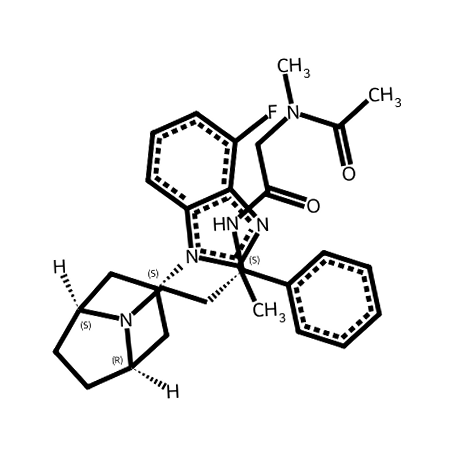 CC(=O)N(C)CC(=O)N[C@@H](CCN1[C@@H]2CC[C@H]1C[C@H](n1c(C)nc3c(F)cccc31)C2)c1ccccc1